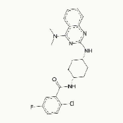 CN(C)c1nc(N[C@H]2CC[C@@H](NC(=O)c3cc(F)ccc3Cl)CC2)nc2ccccc12